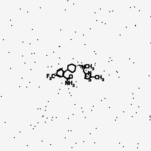 Cc1nc(CN(C)C[C@H]2CC[C@H](c3ccc(C(F)(F)F)cc3C(N)=O)CC2)cs1